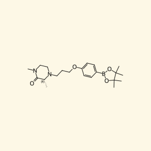 C[C@@H]1C(=O)N(C)CCN1CCCOc1ccc(B2OC(C)(C)C(C)(C)O2)cc1